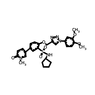 COc1ccc(-n2cc(COc3ccc(-c4ccc(=O)n(C)c4)cc3S(=O)(=O)NC3CCCC3)nn2)cc1OC